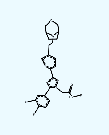 CC(C)NC(=O)Cn1nc(-c2ccc(CCN3C4CCC3COC4)cn2)nc1-c1ccc(F)c(Cl)c1